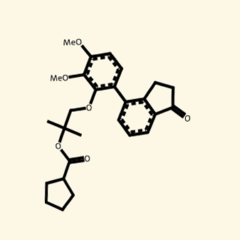 COc1ccc(-c2cccc3c2CCC3=O)c(OCC(C)(C)OC(=O)C2CCCC2)c1OC